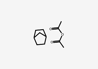 C1CC2CCC1C2.CC(=O)OC(C)=O